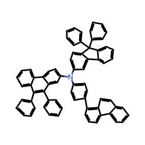 c1ccc(-c2c(-c3ccccc3)c3cc(N(c4ccc(-c5cccc6c5ccc5ccccc56)cc4)c4ccc5c(c4)-c4ccccc4C5(c4ccccc4)c4ccccc4)ccc3c3ccccc23)cc1